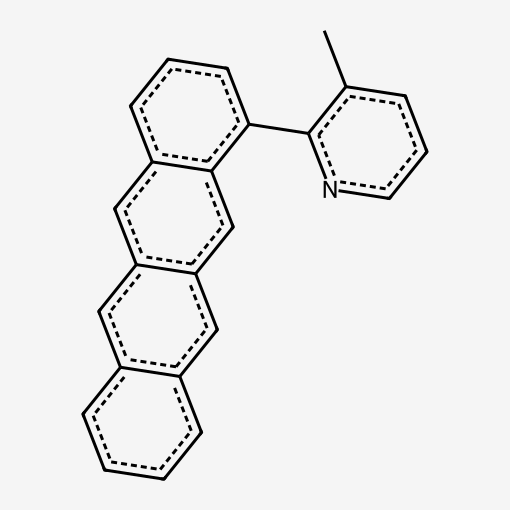 Cc1cccnc1-c1cccc2cc3cc4ccccc4cc3cc12